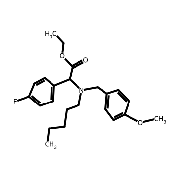 CCCCCN(Cc1ccc(OC)cc1)C(C(=O)OCC)c1ccc(F)cc1